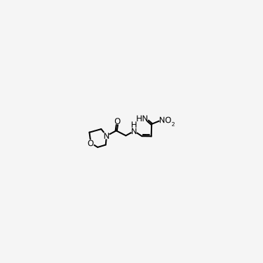 N=C(/C=C\NCC(=O)N1CCOCC1)[N+](=O)[O-]